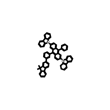 CC1(C)c2ccccc2-c2ccc(-c3cccc(-c4c5ccc(-n6c7c(c8ccccc86)C=CCC7)cc5c(-c5ccccc5)c5ccc(-n6c7ccccc7c7ccccc76)cc45)c3)cc21